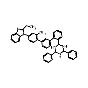 CCc1nc2ccccc2n1-c1ccc(-c2cccc(-c3ccccc3C3NC(c4ccccc4)NC(c4ccccc4)N3)c2)c(N)c1